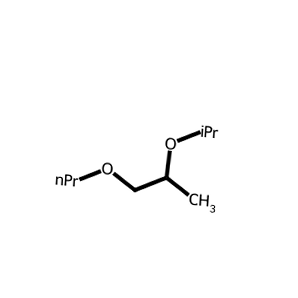 CCCOCC(C)OC(C)C